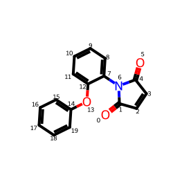 O=C1C=CC(=O)N1c1ccccc1Oc1ccccc1